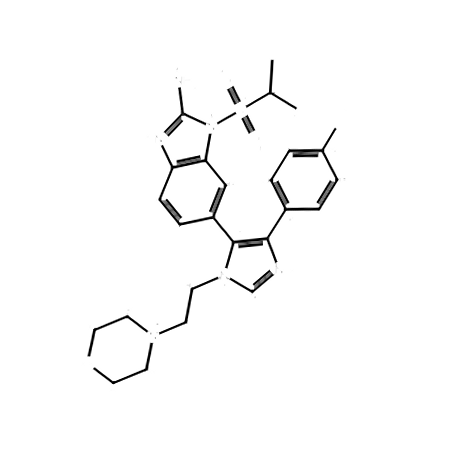 CC(C)S(=O)(=O)n1c(N)nc2ccc(-c3c(-c4ccc(F)cc4)ncn3CCN3CCOCC3)cc21